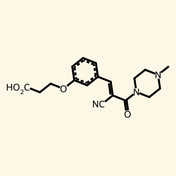 CN1CCN(C(=O)C(C#N)=Cc2cccc(OCCC(=O)O)c2)CC1